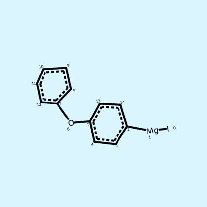 [I][Mg][c]1ccc(Oc2ccccc2)cc1